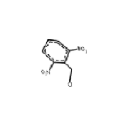 O=[N+]([O-])c1cccc([N+](=O)[O-])c1CCl